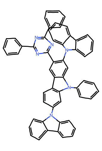 c1ccc(-c2nc(-c3ccccc3)nc(-c3cc4c5ccc(-n6c7ccccc7c7ccccc76)cc5n(-c5ccccc5)c4cc3-n3c4ccccc4c4ccccc43)n2)cc1